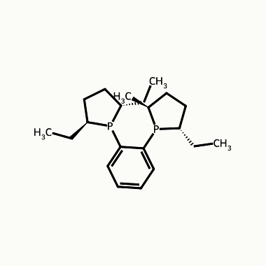 CC[C@H]1CC[C@H](CC)P1c1ccccc1P1[C@@H](CC)CC[C@@H]1C